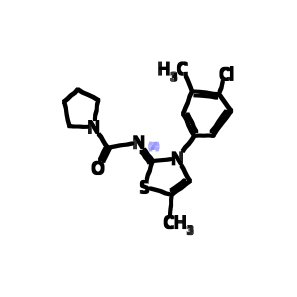 Cc1cn(-c2ccc(Cl)c(C)c2)/c(=N/C(=O)N2CCCC2)s1